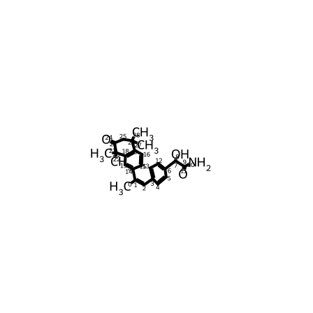 C/C(=C/c1ccc(C(O)C(N)=O)cc1)c1ccc2c(c1)C(C)(C)C(=O)CC2(C)C